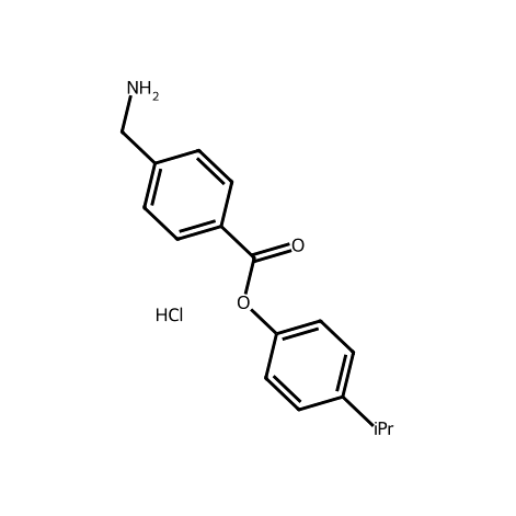 CC(C)c1ccc(OC(=O)c2ccc(CN)cc2)cc1.Cl